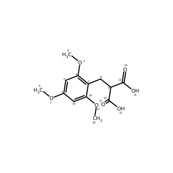 COc1cc(OC)c(CC(C(=O)O)C(=O)O)c(OC)c1